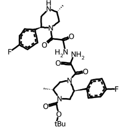 C[C@@H]1CN(C(=O)C(N)=O)[C@@H](c2ccc(F)cc2)CN1.C[C@@H]1CN(C(=O)C(N)=O)[C@@H](c2ccc(F)cc2)CN1C(=O)OC(C)(C)C